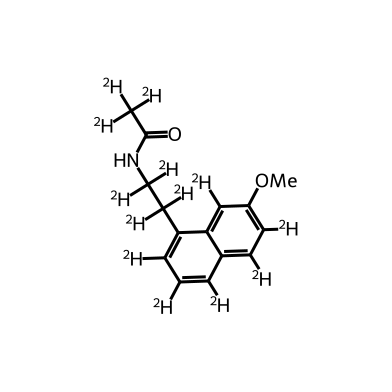 [2H]c1c([2H])c(C([2H])([2H])C([2H])([2H])NC(=O)C([2H])([2H])[2H])c2c([2H])c(OC)c([2H])c([2H])c2c1[2H]